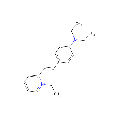 CCN(CC)c1ccc(C=Cc2cccc[n+]2CC)cc1